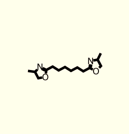 CC1COC(CCCCCCC2=NC(C)CO2)=N1